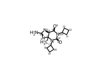 CC12N=C(N)N=C1C(=O)N(C1CCC1)C(=O)N2C1CCC1